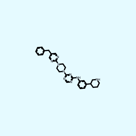 c1ccc(Cc2cnc(N3CCN(c4ncnc(Nc5cccc(C6CCCNC6)c5)n4)CC3)nc2)cc1